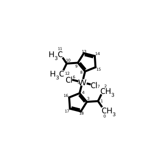 CC(C)C1=[C]([W]([Cl])([Cl])[C]2=C(C(C)C)C=CC2)CC=C1